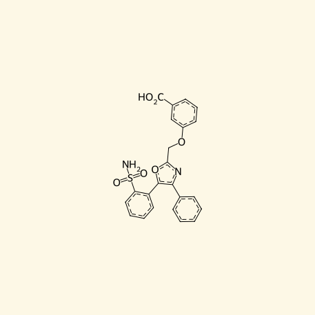 NS(=O)(=O)c1ccccc1-c1oc(COc2cccc(C(=O)O)c2)nc1-c1ccccc1